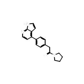 O=C(Cc1ccc(-c2ccnc3[nH]ccc23)cc1)N1CCCC1